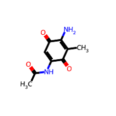 CC(=O)NC1=CC(=O)C(N)=C(C)C1=O